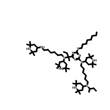 CCCCCCCCSc1nc(N(CCCCCCN(C(C)CC)C2CC(C)(C)NC(C)(C)C2)C2CC(C)(C)NC(C)(C)C2)nc(C(C)(CC)N(CCCCCCNC2CC(C)(C)NC(C)(C)C2)C2CC(C)(C)NC(C)(C)C2)n1